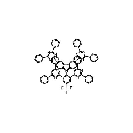 FC(F)(F)c1cc(-c2cc(-c3ccccc3)nc(-c3ccccc3)n2)c(-n2c3ccc(-c4nc(-c5ccccc5)nc(-c5ccccc5)n4)cc3c3cc(-c4nc(-c5ccccc5)nc(-c5ccccc5)n4)ccc32)c(-c2nc(-c3ccccc3)cc(-c3ccccc3)n2)c1